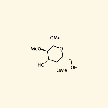 CO[C@@H]1O[C@H](CO)[C@H](OC)[C@H](O)[C@H]1OC